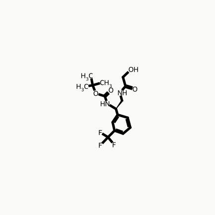 CC(C)(C)OC(=O)N[C@@H](CNC(=O)CO)c1cccc(C(F)(F)F)c1